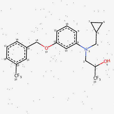 OC(CN(CC1CC1)c1cccc(OCc2cccc(C(F)(F)F)c2)c1)C(F)(F)F